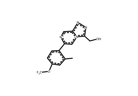 Cc1cc(OC(F)(F)F)ccc1-c1cn2c(CO)nnc2cn1